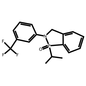 CC(C)P1(=O)c2ccccc2CN1c1cccc(C(F)(F)F)c1